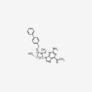 CNc1nc(N)nc2c1ncn2[C@@H]1O[C@H](CO)[C@@H](OCc2ccc(-c3ccccc3)cc2)[C@@]1(C)F